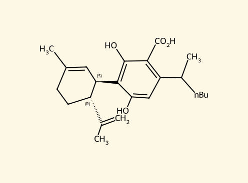 C=C(C)[C@@H]1CCC(C)=C[C@H]1c1c(O)cc(C(C)CCCC)c(C(=O)O)c1O